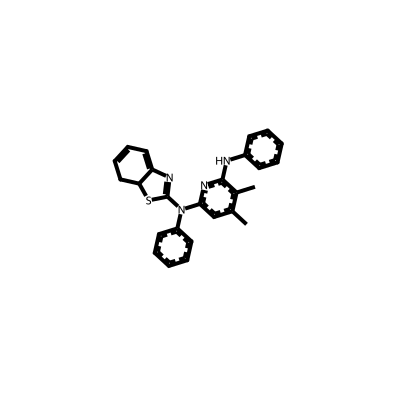 Cc1cc(N(C2=NC3=CC=CCC3S2)c2ccccc2)nc(Nc2ccccc2)c1C